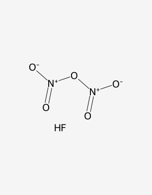 F.O=[N+]([O-])O[N+](=O)[O-]